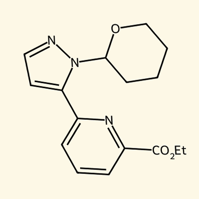 CCOC(=O)c1cccc(-c2ccnn2C2CCCCO2)n1